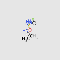 Cc1ccc(NC(=O)CSc2nnnn2-c2ccccc2F)cc1C